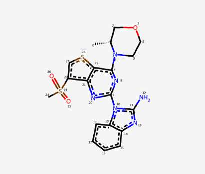 C[C@@H]1COCCN1c1nc(-n2c(N)nc3ccccc32)nc2c(S(C)(=O)=O)csc12